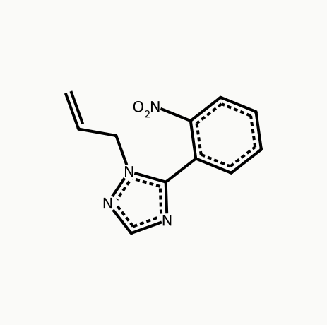 C=CCn1ncnc1-c1ccccc1[N+](=O)[O-]